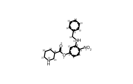 O=C(Oc1ccc([N+](=O)[O-])c(NCc2ccccc2)c1)C1CCCNC1